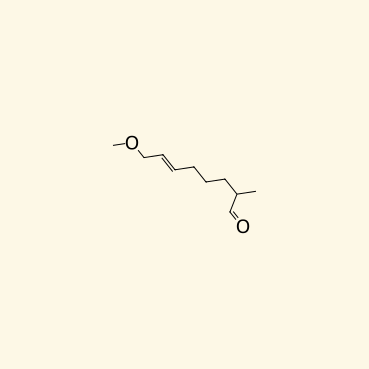 COC/C=C/CCCC(C)C=O